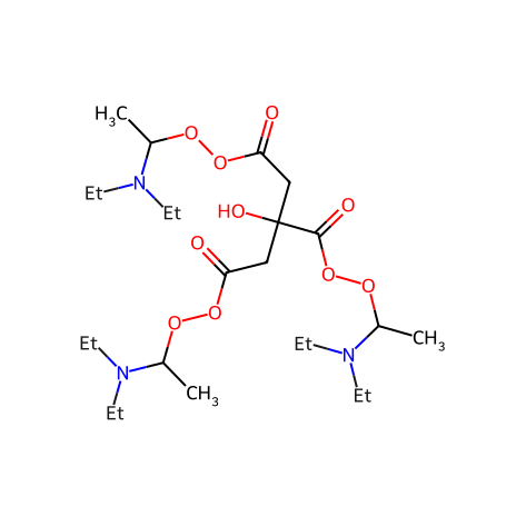 CCN(CC)C(C)OOC(=O)CC(O)(CC(=O)OOC(C)N(CC)CC)C(=O)OOC(C)N(CC)CC